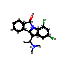 CC(c1c2n(c3c(F)cc(F)cc13)C(=O)c1ccccc1-2)N(C)C